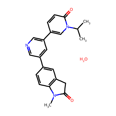 CC(C)n1cc(-c2cncc(-c3ccc4c(c3)CC(=O)N4C)c2)ccc1=O.O